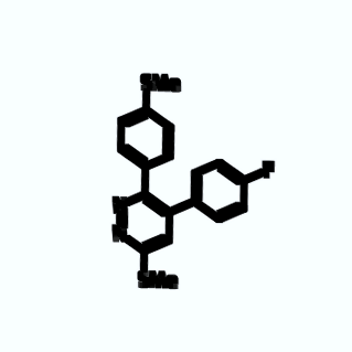 CSc1ccc(-c2nnc(SC)cc2-c2ccc(F)cc2)cc1